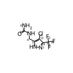 NC(=O)NCc1[nH]nc(C(F)(F)F)c1Cl